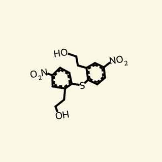 O=[N+]([O-])c1ccc(Sc2ccc([N+](=O)[O-])cc2CCO)c(CCO)c1